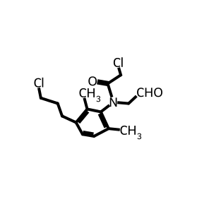 Cc1ccc(CCCCl)c(C)c1N(CC=O)C(=O)CCl